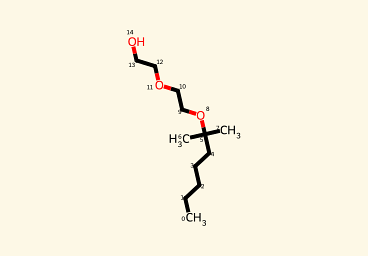 CCCCCC(C)(C)OCCOCCO